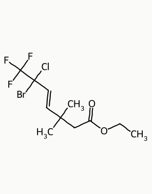 CCOC(=O)CC(C)(C)/C=C/C(Cl)(Br)C(F)(F)F